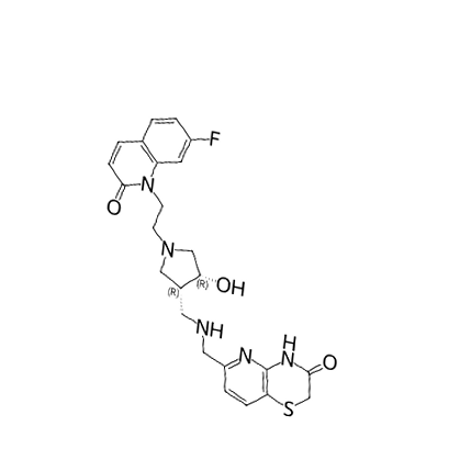 O=C1CSc2ccc(CNC[C@@H]3CN(CCn4c(=O)ccc5ccc(F)cc54)C[C@@H]3O)nc2N1